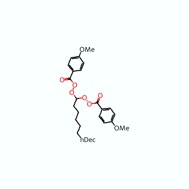 [CH2]CCCCCCCCCCCCCC[C](OOC(=O)c1ccc(OC)cc1)OOC(=O)c1ccc(OC)cc1